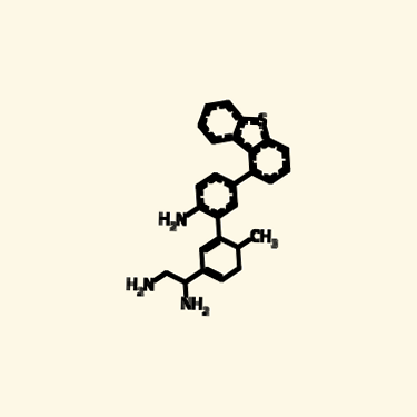 CC1CC=C(C(N)CN)C=C1c1cc(-c2cccc3sc4ccccc4c23)ccc1N